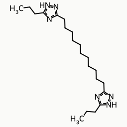 CCCc1nc(CCCCCCCCCCCc2n[nH]c(CCC)n2)n[nH]1